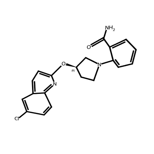 NC(=O)c1ccccc1N1CC[C@@H](Oc2ccc3cc(Cl)ccc3n2)C1